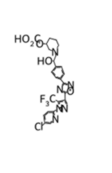 O=C(O)O[C@H]1CCCN(C[C@@H](O)c2ccc(-c3noc(-c4cnn(-c5ccc(Cl)cn5)c4C(F)(F)F)n3)cc2)C1